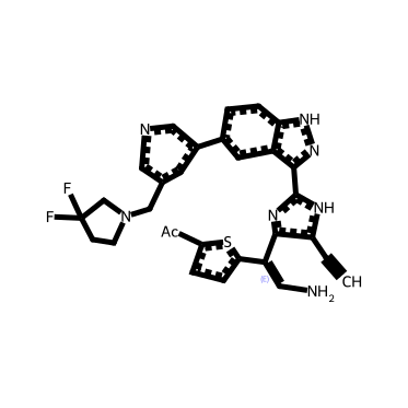 C#Cc1[nH]c(-c2n[nH]c3ccc(-c4cncc(CN5CCC(F)(F)C5)c4)cc23)nc1/C(=C\N)c1ccc(C(C)=O)s1